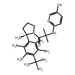 Bc1c(B)c([C@]2(B)CCCN2C(=O)C(C)(C)Nc2ccc(C#N)cn2)c(B)c(B)c1C(B)(B)B